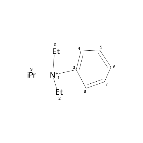 CC[N+](CC)(c1ccccc1)C(C)C